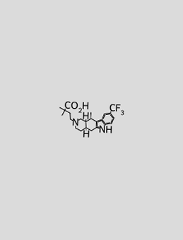 C[C@H]1c2c([nH]c3ccc(C(F)(F)F)cc23)C[C@H]2CCN(CCC(C)(C)C(=O)O)C[C@@H]21